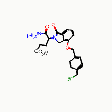 NC(=O)C(CCC(=O)O)N1Cc2c(OCc3ccc(CBr)cc3)cccc2C1=O